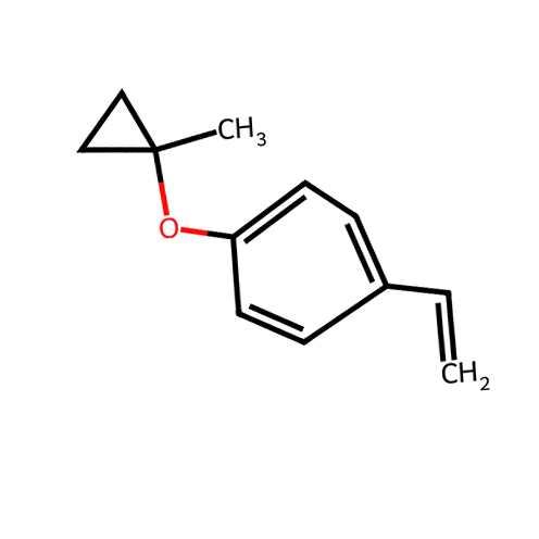 C=Cc1ccc(OC2(C)CC2)cc1